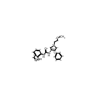 COCCN1C[C@H](NC(=O)Nc2cccc3cn[nH]c23)[C@@H](c2ccccc2)C1